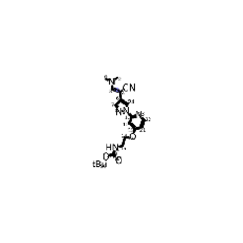 CN(C)/C=C(\C#N)c1cnn(-c2cc(OCCNC(=O)OC(C)(C)C)ccn2)c1